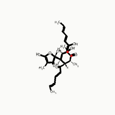 C/C=C/C=C/C(=O)[C@@H]1[C@@H]([C@@]2(C)OC(O)=C(C)C2=O)[C@H]2\C(=C(O)/C=C/C=C/C)C(=O)[C@@]1(C)C(=O)[C@@]2(C)O